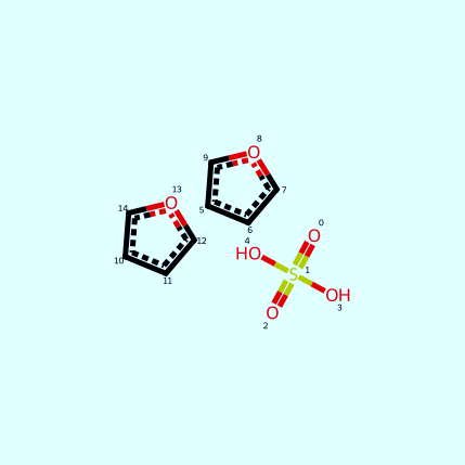 O=S(=O)(O)O.c1ccoc1.c1ccoc1